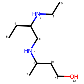 CCNC(CC)CNC(C)CCO